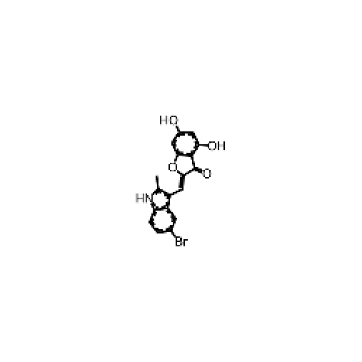 Cc1[nH]c2ccc(Br)cc2c1C=C1Oc2cc(O)cc(O)c2C1=O